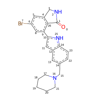 O=C1NCc2cc(Br)cc(-c3cc4cc(CN5CCCCC5)ccc4[nH]3)c21